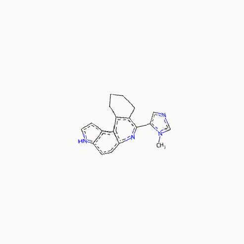 Cn1cncc1-c1nc2ccc3[nH]ccc3c2c2c1CCCC2